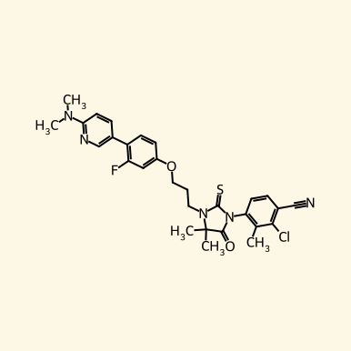 Cc1c(N2C(=O)C(C)(C)N(CCCOc3ccc(-c4ccc(N(C)C)nc4)c(F)c3)C2=S)ccc(C#N)c1Cl